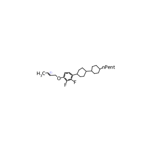 C/C=C/COc1ccc(C2CCC(C3CCC(CCCCC)CC3)CC2)c(F)c1F